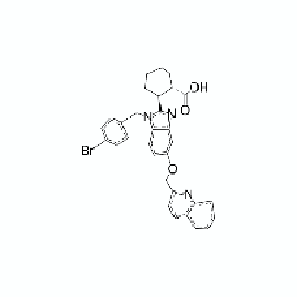 O=C(O)[C@H]1CCCC[C@@H]1c1nc2cc(OCc3ccc4ccccc4n3)ccc2n1Cc1ccc(Br)cc1